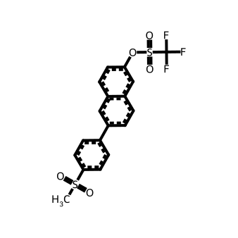 CS(=O)(=O)c1ccc(-c2ccc3cc(OS(=O)(=O)C(F)(F)F)ccc3c2)cc1